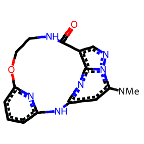 CNc1cc2nc3c(cnn13)C(=O)NCCOc1cccc(n1)N2